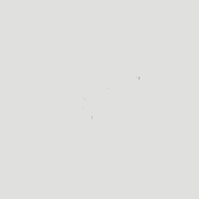 CC(C)=CCn1ncc(-c2ccc(S(N)(=O)=O)c(F)c2)c(-c2ccc(F)cc2)c1=O